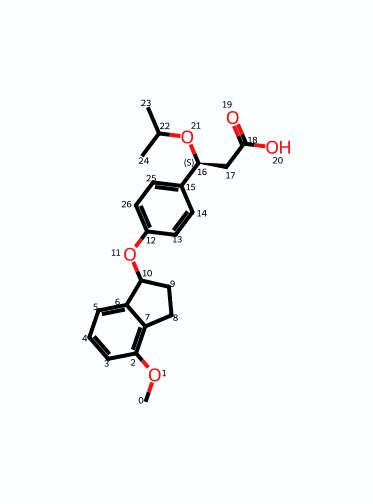 COc1cccc2c1CCC2Oc1ccc([C@H](CC(=O)O)OC(C)C)cc1